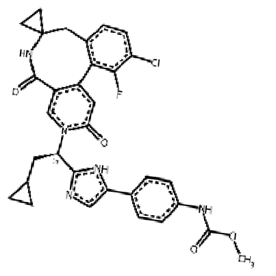 COC(=O)Nc1ccc(-c2cnc([C@@H](CC3CC3)n3cc4c(cc3=O)-c3c(ccc(Cl)c3F)CC3(CC3)NC4=O)[nH]2)cc1